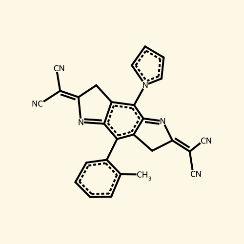 Cc1ccccc1-c1c2c(c(-n3cccc3)c3c1=NC(=C(C#N)C#N)C3)=NC(=C(C#N)C#N)C2